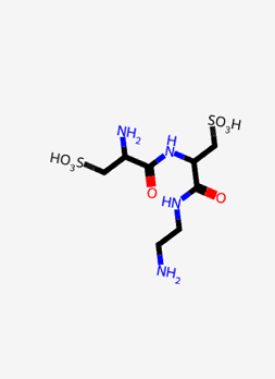 NCCNC(=O)C(CS(=O)(=O)O)NC(=O)C(N)CS(=O)(=O)O